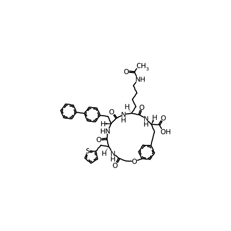 CC(=O)NCCCC[C@@H]1NC(=O)[C@@H](Cc2ccc(-c3ccccc3)cc2)NC(=O)[C@H](Cc2cccs2)NC(=O)COc2ccc(cc2)C[C@@H](C(=O)O)NC1=O